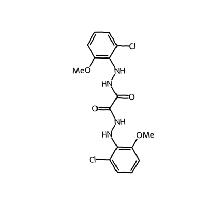 COc1cccc(Cl)c1NNC(=O)C(=O)NNc1c(Cl)cccc1OC